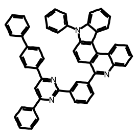 c1ccc(-c2ccc(-c3cc(-c4ccccc4)nc(-c4cccc(-c5nc6ccccc6c6c5ccc5c6c6ccccc6n5-c5ccccc5)c4)n3)cc2)cc1